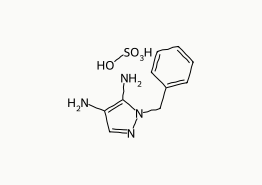 Nc1cnn(Cc2ccccc2)c1N.O=S(=O)(O)O